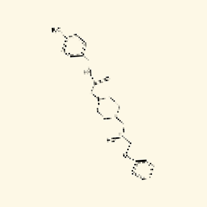 O=C(CN1CCN(C[C@H](O)COc2ccccc2)CC1)NCc1ccc(C(F)(F)F)cc1